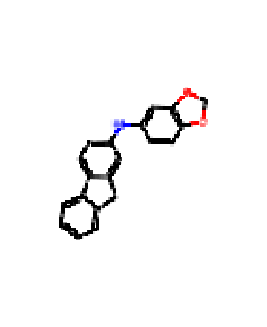 c1ccc2c(c1)Cc1cc(Nc3ccc4c(c3)OCO4)ccc1-2